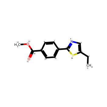 CCc1cnc(-c2ccc(C(=O)OC)cc2)s1